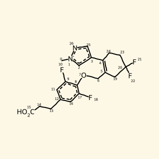 Cn1cc(C2=C(COc3c(F)cc(CCC(=O)O)cc3F)CC(F)(F)CC2)cn1